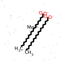 CCCCCCCCCCCCCCCCCCCC(=O)[O-].CCCCCCCCCCCCCCCCCCCC(=O)[O-].[Mn+2]